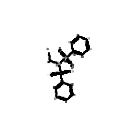 O=S(=O)(c1ccccc1)N(CI)S(=O)(=O)c1ccccc1